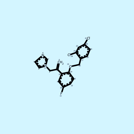 C=C(Cn1ccnc1)c1cc(F)ccc1OCc1ccc(Cl)cc1Cl